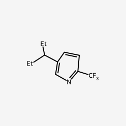 CCC(CC)c1ccc(C(F)(F)F)nc1